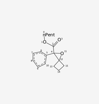 CCCCCOC(=O)C1(c2ccccc2)OC12CCC2